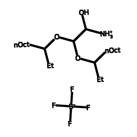 CCCCCCCCC(CC)OC(OC(CC)CCCCCCCC)C([NH3+])O.F[B-](F)(F)F